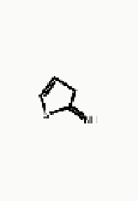 N=C1CC=CS1